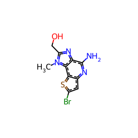 Cn1c(CO)nc2c(N)nc3cc(Br)sc3c21